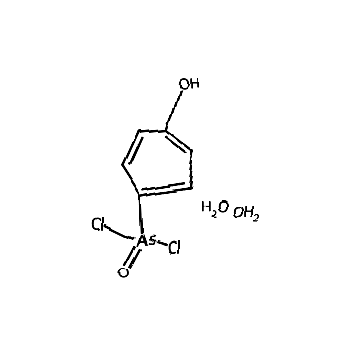 O.O.O=[As](Cl)(Cl)c1ccc(O)cc1